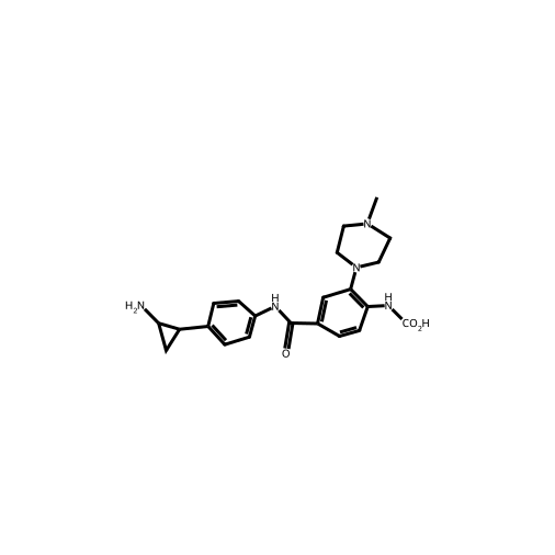 CN1CCN(c2cc(C(=O)Nc3ccc(C4CC4N)cc3)ccc2NC(=O)O)CC1